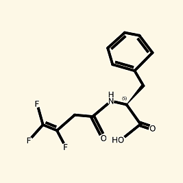 O=C(CC(F)=C(F)F)N[C@@H](Cc1ccccc1)C(=O)O